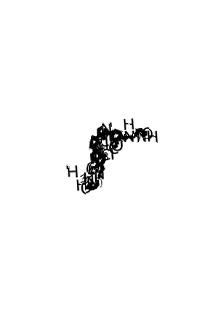 COc1cc(-c2nccc(-c3cccc(-c4ccc5c(OC)c(CNC[C@@H]6CCC(=O)N6)cc(Cl)c5n4)c3Cl)c2Cl)ccc1CNC[C@H]1CCC(=O)N1